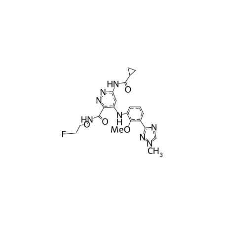 COc1c(Nc2cc(NC(=O)C3CC3)nnc2C(=O)NOCCF)cccc1-c1ncn(C)n1